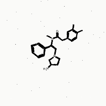 Cc1ccc(CC(=O)N(C)C(CN2CCC(N)C2)c2ccccc2)cc1C